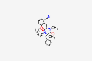 COc1cccc(C#N)c1C=C1C(=O)N(C)C(C)(Cc2ccccc2)C(=O)N1C